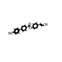 N#CC=C[C@H]1CC[C@H](OC(=O)[C@H]2CC[C@H](c3ccc(C#N)cc3)CC2)CC1